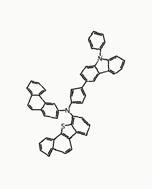 c1ccc(-n2c3ccccc3c3cc(-c4ccc(N(c5ccc6ccc7ccccc7c6c5)c5cccc6c5sc5c7ccccc7ccc65)cc4)ccc32)cc1